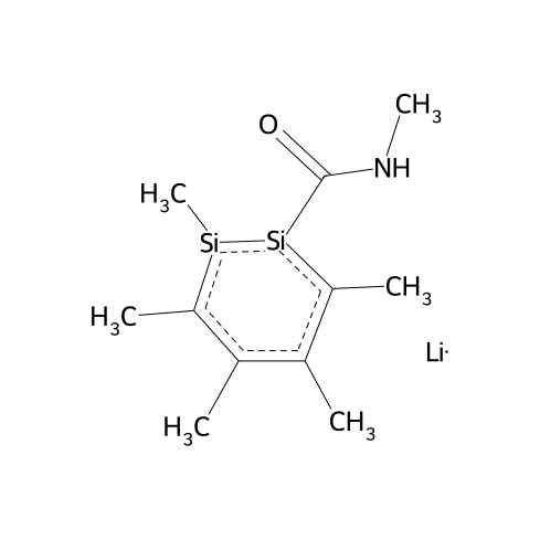 CNC(=O)[si]1c(C)c(C)c(C)c(C)[si]1C.[Li]